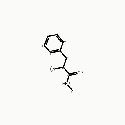 [CH2]NC(=O)C(N)Cc1ccccc1